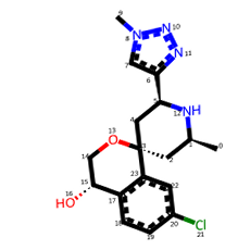 C[C@H]1C[C@@]2(C[C@@H](c3cn(C)nn3)N1)OC[C@@H](O)c1ccc(Cl)cc12